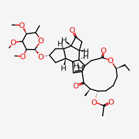 CC[C@H]1CCC[C@H](OC(C)=O)[C@@H](C)C(=O)C2=C[C@H]3[C@@H]4C[C@H](O[C@@H]5OC(C)[C@H](OC)C(OC)C5OC)C[C@H]4[C@@H]4C(=O)C[C@@H]4[C@H]3[C@@H]2CC(=O)O1